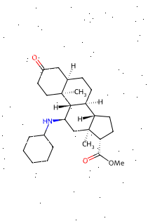 COC(=O)[C@H]1CC[C@H]2[C@@H]3CC[C@@H]4CC(=O)CC[C@]4(C)[C@H]3[C@H](NC3CCCCC3)C[C@]12C